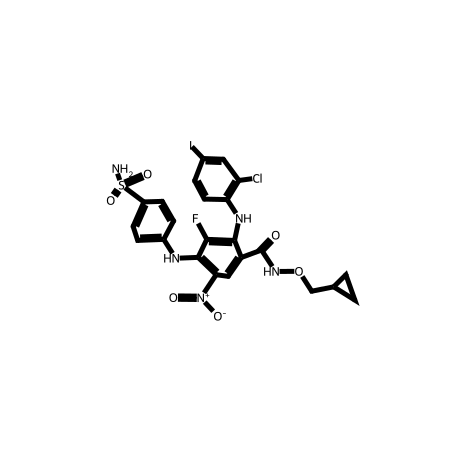 NS(=O)(=O)c1ccc(Nc2c([N+](=O)[O-])cc(C(=O)NOCC3CC3)c(Nc3ccc(I)cc3Cl)c2F)cc1